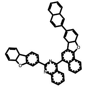 C1=CC2C=CC(C3=CC4c5cc(-c6nc(-c7ccc8c(c7)OC7C=CC=CC87)nc7ccccc67)c6ccccc6c5OC4C=C3)=CC2C=C1